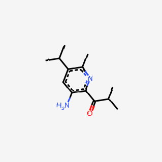 Cc1nc(C(=O)C(C)C)c(N)cc1C(C)C